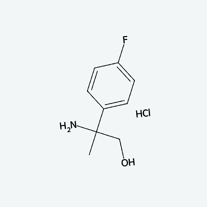 CC(N)(CO)c1ccc(F)cc1.Cl